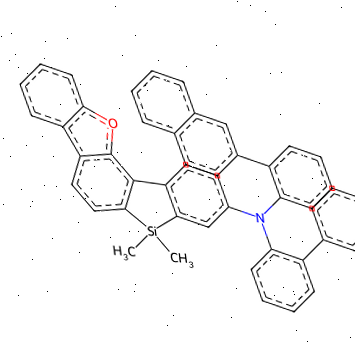 C[Si]1(C)c2cc(N(c3ccccc3-c3ccccc3)c3ccccc3-c3ccc4ccccc4c3)ccc2-c2c1ccc1c2oc2ccccc21